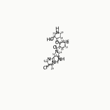 CC1=N/C(=C2\CN(C(=O)c3ccc(F)cc3O[C@H]3CCNC[C@@H]3O)CC2=N)NC(C)=C1Cl